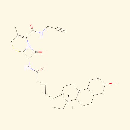 C#CCNC(=O)C1=C(C)CSC2C(NC(=O)CC[C@@H](C)[C@H]3CC[C@H]4[C@@H]5CC[C@@H]6C[C@H](O)CC[C@]6(C)C5CC[C@]34C)C(=O)N12